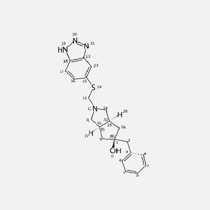 O[C@@]1(Cc2ccccc2)C[C@H]2CN(CSc3ccc4[nH]nnc4c3)C[C@H]2C1